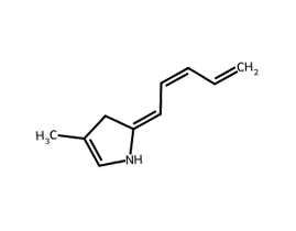 C=C/C=C\C=C1/CC(C)=CN1